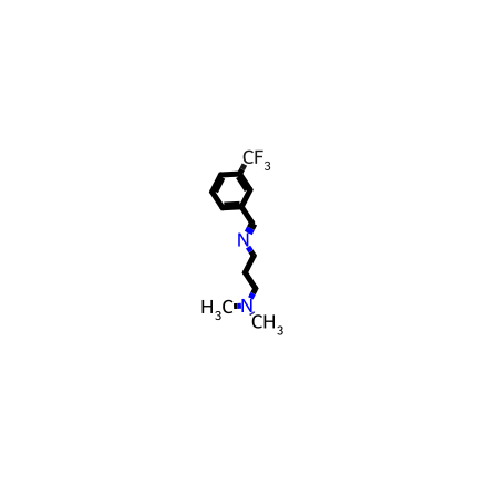 CN(C)CCCN=Cc1cccc(C(F)(F)F)c1